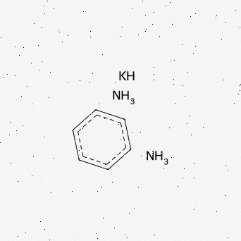 N.N.[KH].c1ccccc1